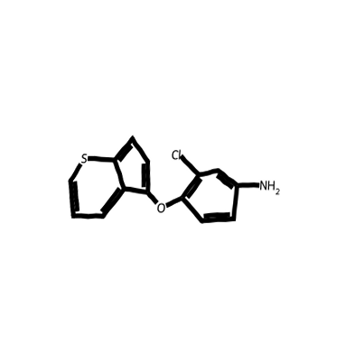 Nc1ccc(Oc2ccc3scccc2-3)c(Cl)c1